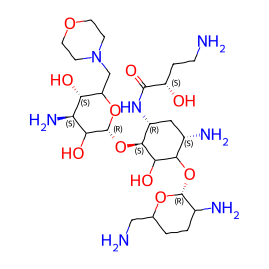 NCC[C@H](O)C(=O)N[C@@H]1C[C@H](N)C(O[C@H]2OC(CN)CCC2N)C(O)[C@H]1O[C@H]1OC(CN2CCOCC2)[C@@H](O)[C@H](N)C1O